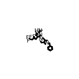 CNc1nc(N2CCC3CN(Cc4ccccc4)CC3C2)c2cc(CC(F)(F)F)sc2n1